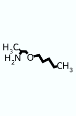 CCCCCOC[C@H](C)N